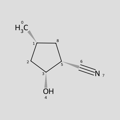 C[C@H]1C[C@@H](O)[C@@H](C#N)C1